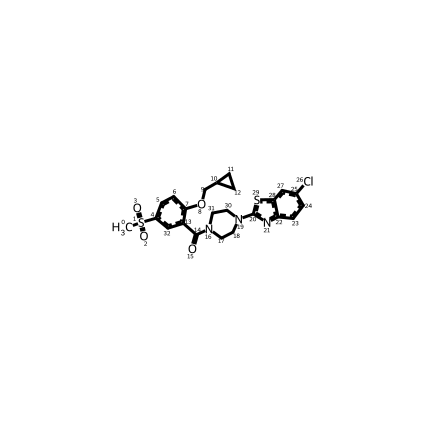 CS(=O)(=O)c1ccc(OCC2CC2)c(C(=O)N2CCN(c3nc4ccc(Cl)cc4s3)CC2)c1